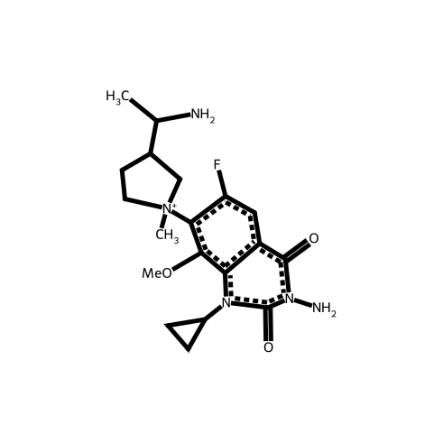 COc1c([N+]2(C)CCC(C(C)N)C2)c(F)cc2c(=O)n(N)c(=O)n(C3CC3)c12